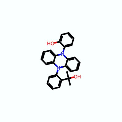 CC(C)(O)c1ccccc1N1c2ccccc2N(c2ccccc2O)c2ccccc21